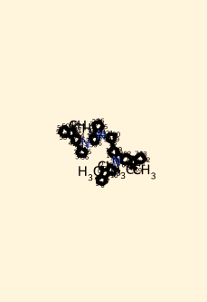 CC1(C)c2ccccc2-c2ccc(-n3c4ccc(-c5cccc(-n6c7ccccc7c7cc(-n8c9ccccc9c9cc%10c(cc98)C(C)(C)c8ccccc8-%10)ccc76)c5)cc4c4cc5c(cc43)C(C)(C)c3ccccc3-5)cc21